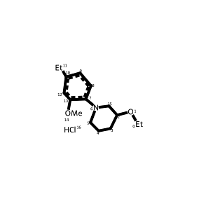 CCOC1CCCN(c2ccc(CC)cc2OC)C1.Cl